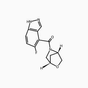 O=C(c1c(F)ccc2[nH]ncc12)N1C[C@@H]2C[C@H]1CO2